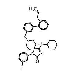 C=CCc1ccccc1-c1cccc(CN2CCC3(CC2)C(NC2CCCCC2)=NC(=O)N3c2cccc(F)c2)c1